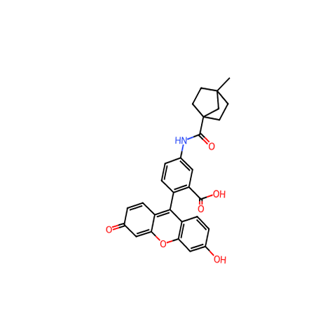 CC12CCC(C(=O)Nc3ccc(-c4c5ccc(=O)cc-5oc5cc(O)ccc45)c(C(=O)O)c3)(CC1)C2